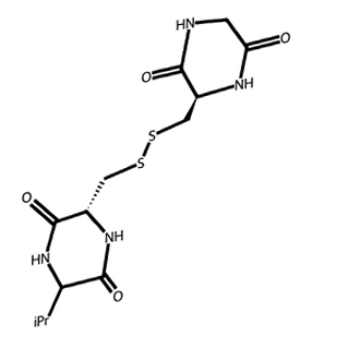 CC(C)C1NC(=O)[C@H](CSSC[C@@H]2NC(=O)CNC2=O)NC1=O